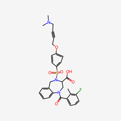 Cc1c(F)cccc1C(=O)N1CC(C(=O)O)N(S(=O)(=O)c2ccc(OCC#CCN(C)C)cc2)Cc2ccccc21